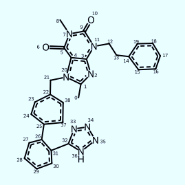 Cc1nc2c(c(=O)n(C)c(=O)n2CCc2ccccc2)n1Cc1ccc(-c2ccccc2-c2nnn[nH]2)cc1